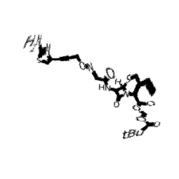 C=CC1=C(C(=O)OCOC(=O)C(C)(C)C)N2C(=O)C(NC(=O)C=NOCC#Cc3csc(N)n3)[C@@H]2SC1